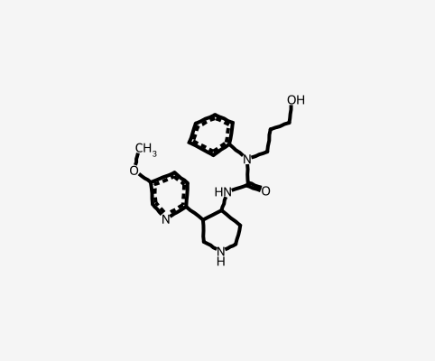 COc1ccc(C2CNCCC2NC(=O)N(CCCO)c2ccccc2)nc1